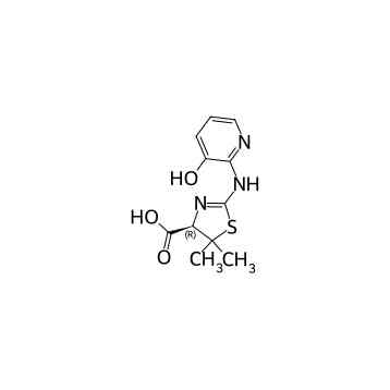 CC1(C)SC(Nc2ncccc2O)=N[C@@H]1C(=O)O